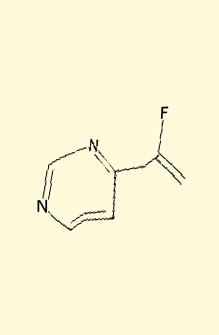 C=C(F)c1ccncn1